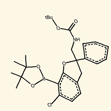 CC(C)(C)OC(=O)NCC1(c2ccccc2)Cc2ccc(Cl)c(B3OC(C)(C)C(C)(C)O3)c2O1